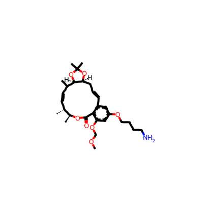 COCOc1cc(OCCCCN)cc2c1C(=O)O[C@@H](C)[C@H](C)/C=C\C(C)[C@H]1OC(C)(C)O[C@H]1C/C=C/2